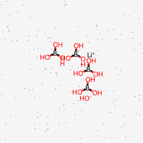 OB(O)O.OB(O)O.OB(O)O.OB(O)O.[Li+].[OH-]